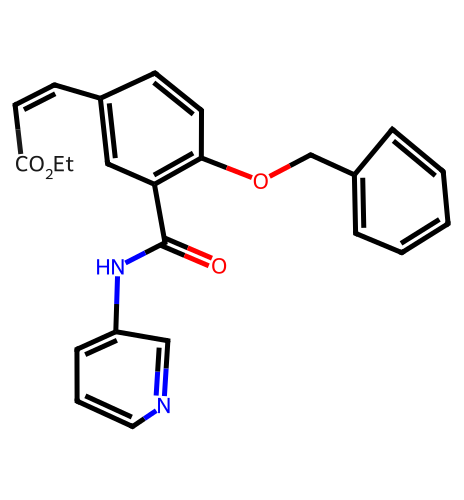 CCOC(=O)/C=C\c1ccc(OCc2ccccc2)c(C(=O)Nc2cccnc2)c1